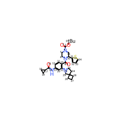 CC(C)(C)OC(=O)N1CCN(C(=O)c2ccc(NC(=O)C3CC3)cc2N2CCC3(CCC3)C2)C(c2cccs2)C1